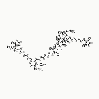 CCCCCCCCC1C(CCCCCC)CCC(CCCCCCCC2CC2(C)N2C(=O)C=CC2=O)C1CCCCCCCCN1C(=O)C2CC3C(=O)N(C(C)(C)C(C)(CCCCCCCCN4C(=O)C=CC4=O)CC(CCC)CCCCCC)C(=O)C3CC2C1=O